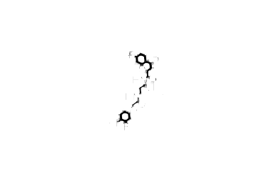 C=C(CCNC(=O)COc1ccc(Cl)c(F)c1)NC(=O)c1cc(=O)c2ccc(F)cc2o1